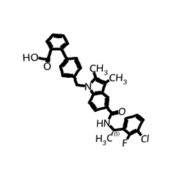 Cc1c(C)n(Cc2ccc(-c3ccccc3C(=O)O)cc2)c2ccc(C(=O)N[C@@H](C)c3cccc(Cl)c3F)cc12